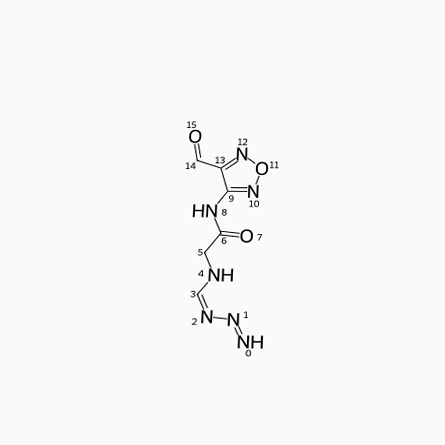 N=N/N=C\NCC(=O)Nc1nonc1C=O